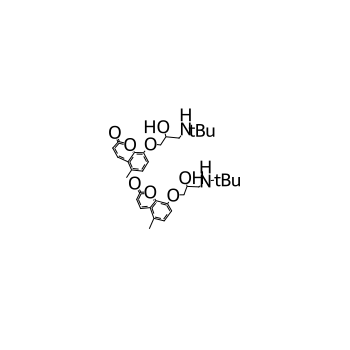 Cc1ccc(OCC(O)CNC(C)(C)C)c2oc(=O)ccc12.Cc1ccc(OCC(O)CNC(C)(C)C)c2oc(=O)ccc12